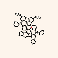 CC(C)(C)c1cc(N(c2ccccc2)c2ccccc2)c2c(c1)c1cc(C(C)(C)C)cc3c4cc5c(nc4n2c31)c1c2ccccc2cc2c3c4ccccc4cc(N(c4ccccc4)c4ccccc4)c3n5c21